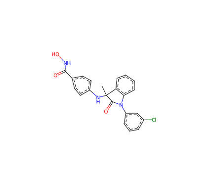 CC1(Nc2ccc(C(=O)NO)cc2)C(=O)N(c2cccc(Cl)c2)c2ccccc21